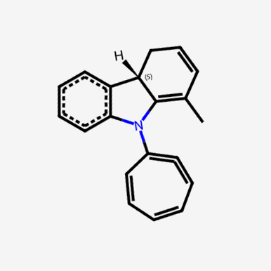 CC1=C2[C@@H](CC=C1)c1ccccc1N2C1=C=CC=CC=C1